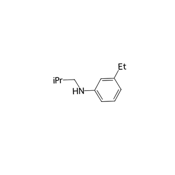 CCc1cccc(NCC(C)C)c1